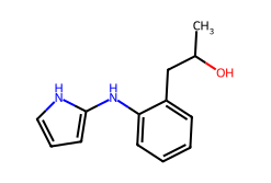 CC(O)Cc1ccccc1Nc1ccc[nH]1